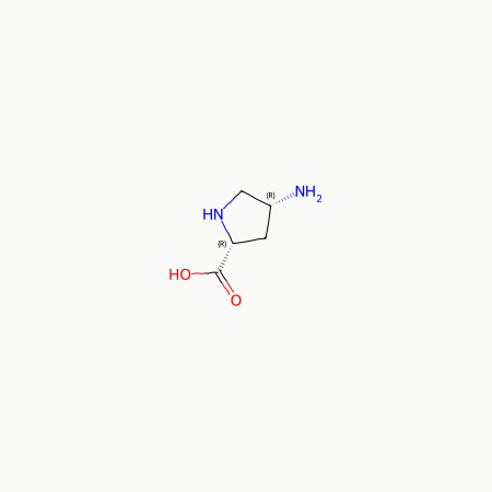 N[C@H]1CN[C@@H](C(=O)O)C1